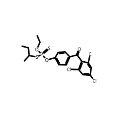 CCOP(=S)(Oc1ccc(C(=O)c2c(Cl)cc(Cl)cc2Cl)cc1)SC(C)CC